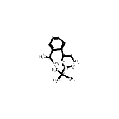 CC(C)c1ccccc1C(CN)N[S+]([O-])C(C)(C)C